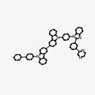 c1ccc(-c2ccc(-n3c4ccccc4c4cc(-c5ccc6c(c5)c5ccccc5n6-c5ccc(-n6c(-c7cccc(-c8cnccn8)c7)nc7ccccc76)cc5)ccc43)cc2)cc1